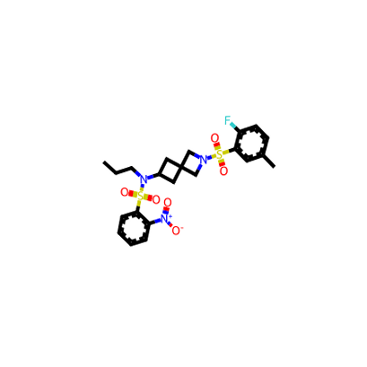 CCCN(C1CC2(C1)CN(S(=O)(=O)c1cc(C)ccc1F)C2)S(=O)(=O)c1ccccc1[N+](=O)[O-]